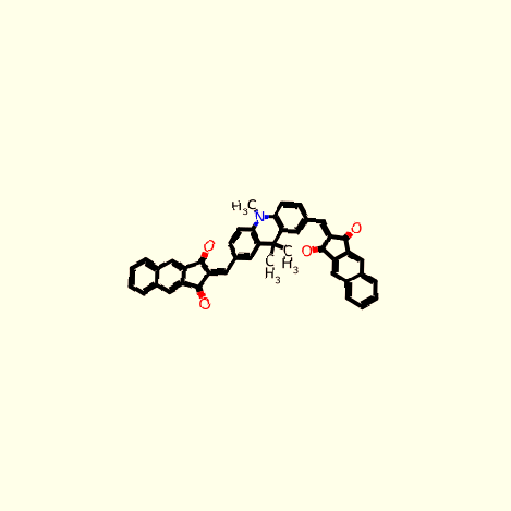 CN1c2ccc(C=C3C(=O)c4cc5ccccc5cc4C3=O)cc2C(C)(C)c2cc(C=C3C(=O)c4cc5ccccc5cc4C3=O)ccc21